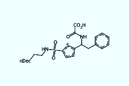 CCCCCCCCCCCCNS(=O)(=O)c1ccc(C(Cc2ccccc2)NC(=O)C(=O)O)s1